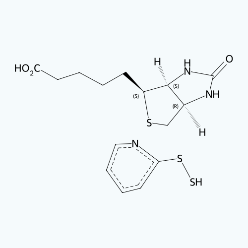 O=C(O)CCCC[C@@H]1SC[C@@H]2NC(=O)N[C@@H]21.SSc1ccccn1